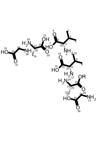 CC(C)[C@H](N)C(=O)O.CC(C)[C@H](N)C(=O)O.C[C@H](N)C(=O)O.C[C@H](N)C(=O)O.NCC(=O)O.NCC(=O)O